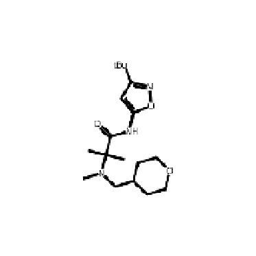 CN(CC1CCOCC1)C(C)(C)C(=O)Nc1cc(C(C)(C)C)no1